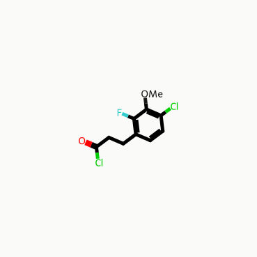 COc1c(Cl)ccc(CCC(=O)Cl)c1F